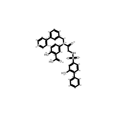 Cc1cc(S(=O)(=O)NCC(=O)N(Cc2cccc(-c3ccncc3)c2)c2ccc(O)c(C(=O)O)c2)ccc1-c1ccccc1